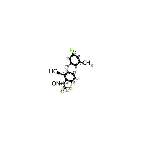 C#Cc1c(Oc2cc(C)cc(F)c2)ccc2c1C(N=O)C(F)(F)S2